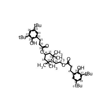 CC(C)(C)c1cc(CCC(=O)OCCN2C(C)(C)CC(OC(=O)CCc3cc(C(C)(C)C)cc(C(C)(C)C)c3O)CC2(C)C)c(O)c(C(C)(C)C)c1